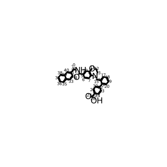 C[C@H](NC(=O)c1ccc2c(c1)OCCN2Cc1ccccc1-c1ccc(C(=O)O)cc1)c1ccc2ccccc2c1